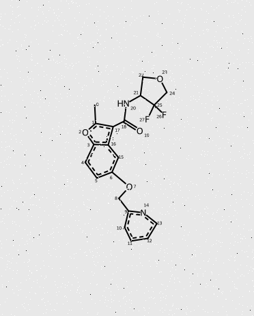 Cc1oc2ccc(OCc3ccccn3)cc2c1C(=O)NC1COCC1(F)F